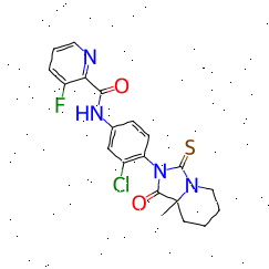 CC12CCCCN1C(=S)N(c1ccc(NC(=O)c3ncccc3F)cc1Cl)C2=O